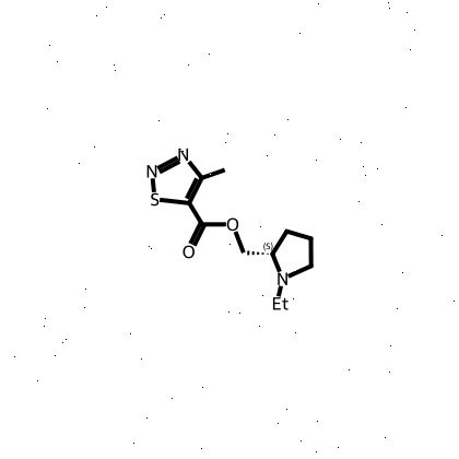 CCN1CCC[C@H]1COC(=O)c1snnc1C